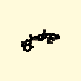 CN1CCOc2cnn3cc(C(=O)NCc4ccc5cc(CN(CC6CCC6)C(=O)OC(C)(C)C)[nH]c5c4)nc1c23